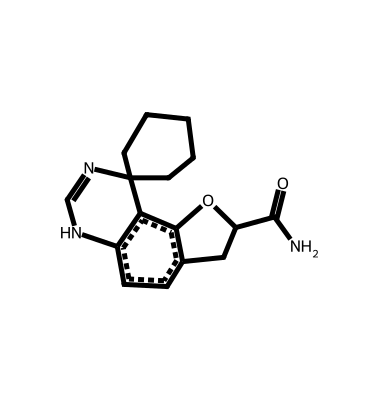 NC(=O)C1Cc2ccc3c(c2O1)C1(CCCCC1)N=CN3